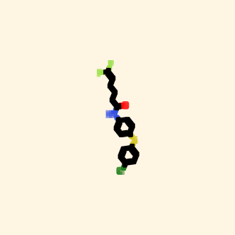 O=C(CCCC=C(F)F)Nc1ccc(Sc2ccc(Cl)cc2)cc1